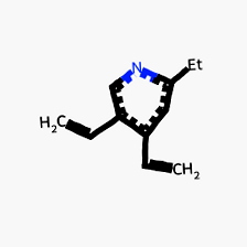 C=Cc1cnc(CC)cc1C=C